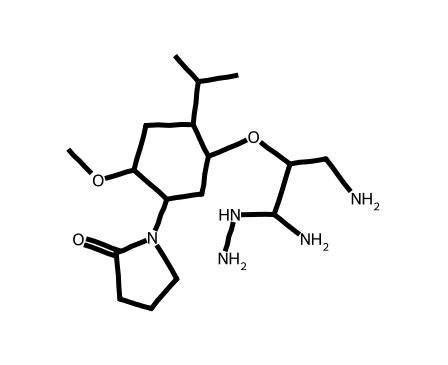 COC1CC(C(C)C)C(OC(CN)C(N)NN)CC1N1CCCC1=O